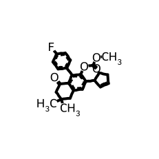 COC(=O)Oc1c(C2C=CCC2)cc2c(c1-c1ccc(F)cc1)C(=O)CC(C)(C)C2